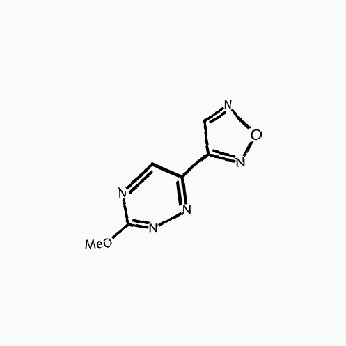 COc1ncc(-c2cnon2)nn1